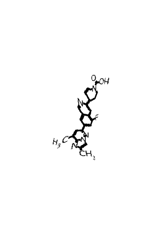 Cc1cn2nc(-c3cc(F)c4cc(C5CCN(C(=O)O)CC5)ncc4c3)cc(C)c2n1